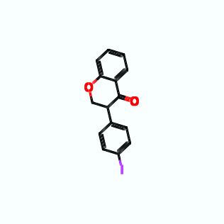 O=C1c2ccccc2OCC1c1ccc(I)cc1